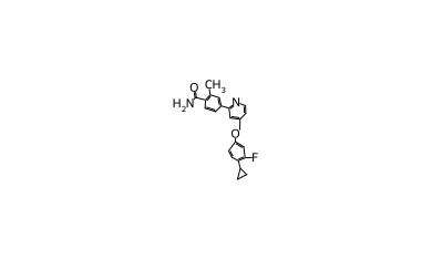 Cc1cc(-c2cc(COc3ccc(C4CC4)c(F)c3)ccn2)ccc1C(N)=O